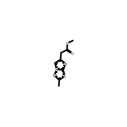 COC(=O)Cc1cn2nc(C)sc2n1